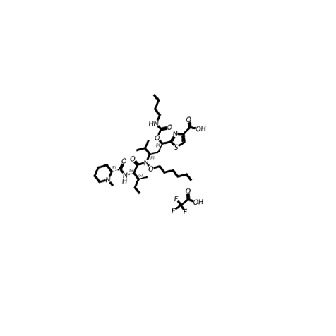 CCCCCCON(C(=O)[C@@H](NC(=O)[C@H]1CCCCN1C)[C@@H](C)CC)[C@H](C[C@@H](OC(=O)NCCCC)c1nc(C(=O)O)cs1)C(C)C.O=C(O)C(F)(F)F